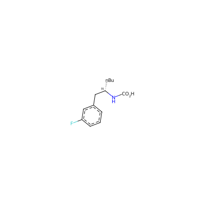 CCCC[C@@H](Cc1cccc(F)c1)NC(=O)O